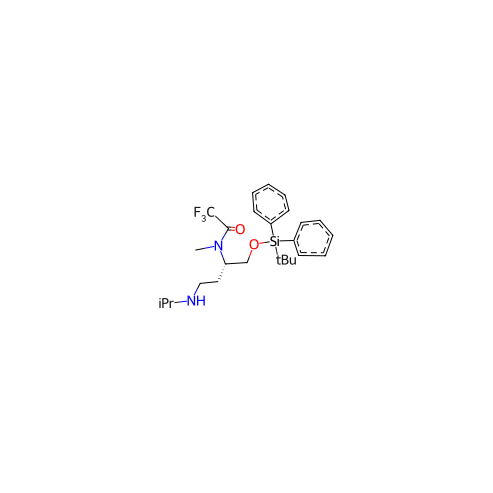 CC(C)NCC[C@@H](CO[Si](c1ccccc1)(c1ccccc1)C(C)(C)C)N(C)C(=O)C(F)(F)F